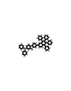 c1ccc(-c2c(-c3ccccc3)c(-c3ccccc3)c3cc(-c4ccc5c(c4)sc4cc(N(c6ccccc6)c6ccccc6)ccc45)ccc3c2-c2ccccc2)cc1